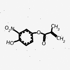 C=C(C)C(=O)Oc1ccc(O)c([N+](=O)[O-])c1